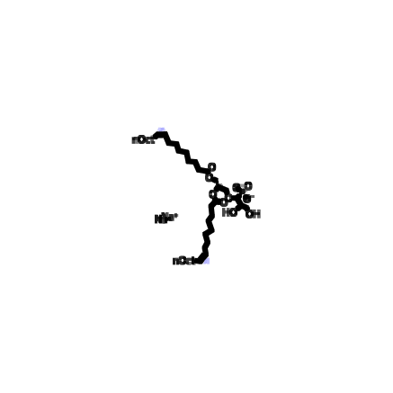 CCCCCCCC/C=C\CCCCCCCC(=O)OC[C@H](COC(C(O)CO)P(=O)([O-])[O-])OC(=O)CCCCCCC/C=C\CCCCCCCC.[Na+].[Na+]